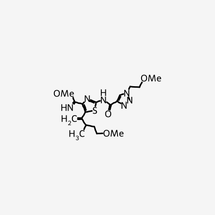 C=C(c1sc(NC(=O)c2cn(CCOC)nn2)nc1C(=N)OC)C(C)CCOC